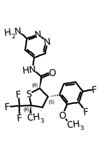 COc1c([C@@H]2C[C@](C)(C(F)(F)F)S[C@H]2C(=O)Nc2cnnc(N)c2)ccc(F)c1F